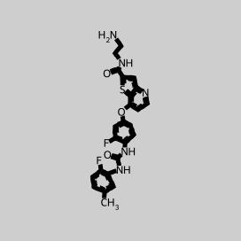 Cc1ccc(F)c(NC(=O)Nc2ccc(Oc3ccnc4cc(C(=O)NCCN)sc34)cc2F)c1